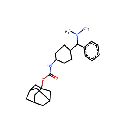 CN(C)C(c1ccccc1)C1CCC(NC(=O)OC23CC4CC(CC(C4)C2)C3)CC1